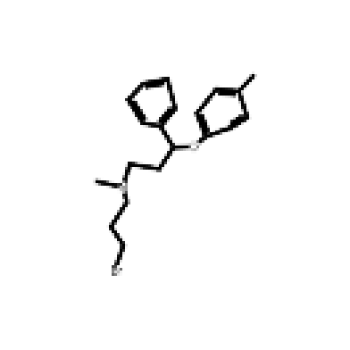 Cc1ccc(OC(CCN(C)CCCBr)c2ccccc2)cc1